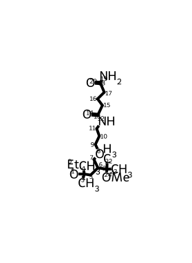 CCOC(C)(C)CC(COCCCNC(=O)CCCC(N)=O)C(C)(C)OC